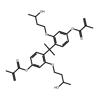 C=C(C)C(=O)Oc1ccc(C(C)(C)c2ccc(OC(=O)C(=C)C)cc2OCCC(C)O)c(OCCC(C)O)c1